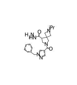 CC(C)N1CC2(CN(C(=O)c3cnn(Cc4ccccc4)c3)CC2C(=O)NN)C1